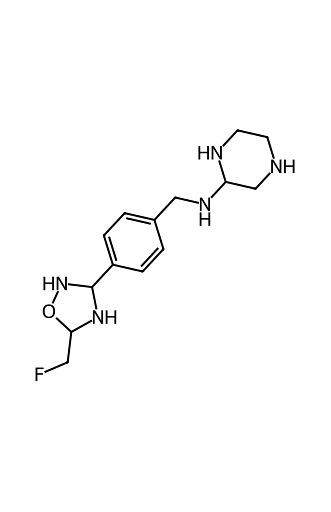 FCC1NC(c2ccc(CNC3CNCCN3)cc2)NO1